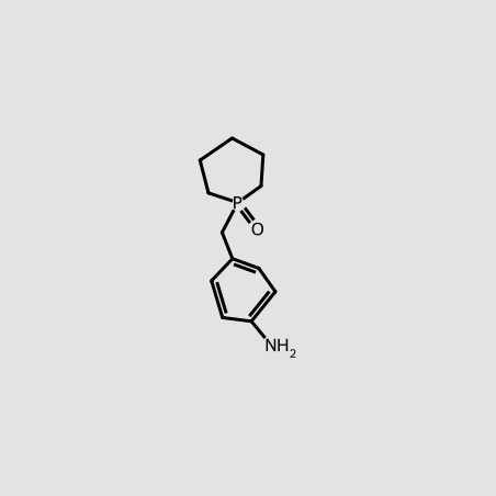 Nc1ccc(CP2(=O)CCCCC2)cc1